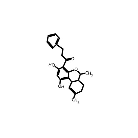 CC1=CC2c3c(O)cc(O)c(C(=O)CCc4ccccc4)c3OC(C)C2CC1